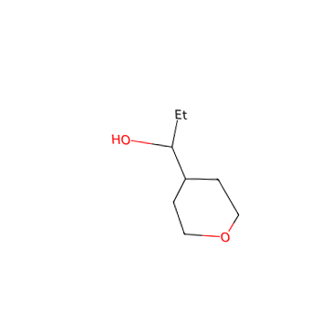 CCC(O)C1CCOCC1